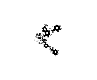 C[C@H](Cc1cccc(OCC(F)(F)c2ccccc2)c1)NC[C@H](O[Si](C)(C)C(C)(C)C)c1ccc(OCc2ccccc2)c2[nH]c(=O)ccc12